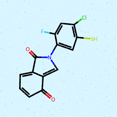 O=C1C=CC=C2C(=O)N(c3cc(S)c(Cl)cc3F)C=C12